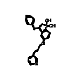 OS1(O)CC(Sc2ccccc2)c2cc(OCCCc3cccnc3)ccc21